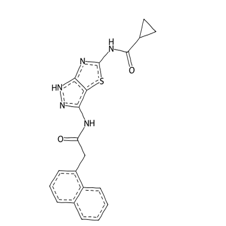 O=C(Cc1cccc2ccccc12)Nc1n[nH]c2nc(NC(=O)C3CC3)sc12